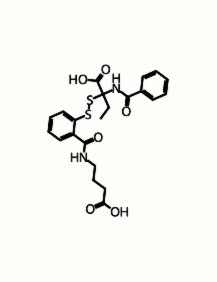 CCC(NC(=O)c1ccccc1)(SSc1ccccc1C(=O)NCCCC(=O)O)C(=O)O